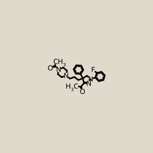 CC(=O)C1=NN(c2ccccc2F)CC1(CCCN1CCN(C(C)=O)CC1)c1ccccc1